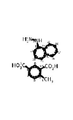 Cc1ccc(C(=O)O)cc1C(=O)O.NNc1cccc2ccccc12